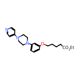 CCOC(=O)CCCCOc1cccc(N2CCN(c3ccncc3)CC2)c1